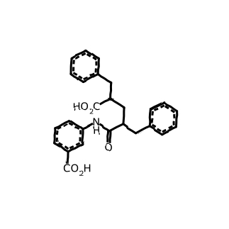 O=C(O)c1cccc(NC(=O)C(Cc2ccccc2)CC(Cc2ccccc2)C(=O)O)c1